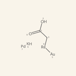 O=C(O)[CH2][Re][Au].[KH].[Pd]